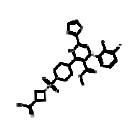 COC(=O)C1=C(C2CCN(S(=O)(=O)[C@H]3C[C@H](C(=O)O)C3)CC2)NC(c2nccs2)=N[C@@H]1c1cccc(F)c1Br